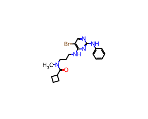 CN(CCCNc1nc(Nc2ccccc2)ncc1Br)C(=O)C1CCC1